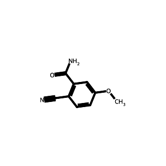 COc1ccc(C#N)c(C(N)=O)c1